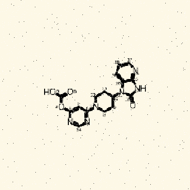 O=C(O)Oc1cc(N2CCC(n3c(=O)[nH]c4ncccc43)CC2)ncn1